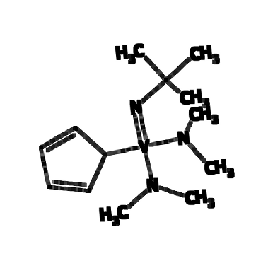 C[N](C)[V](=[N]C(C)(C)C)([CH]1C=CC=C1)[N](C)C